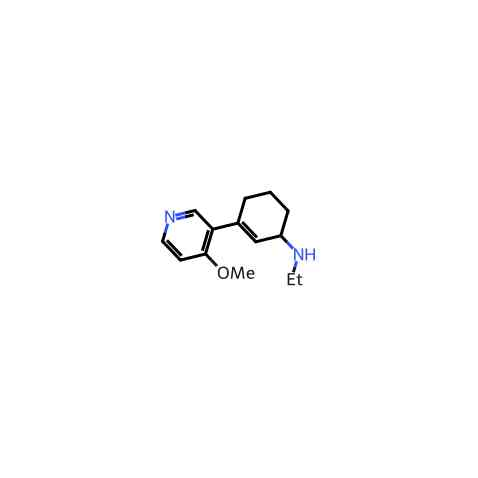 CCNC1C=C(c2cnccc2OC)CCC1